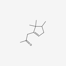 CC(=O)CC1=CCC(C)C1(C)C